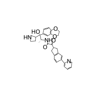 C[C@@H](NC(=O)C(=O)C1Cc2ccc(-c3ccccn3)cc2C1)[C@](O)(c1ccc2c(c1)OCCO2)C1CCNC1